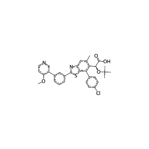 COc1ccncc1-c1cccc(-c2nc3cc(C)c([C@H](OC(C)(C)C)C(=O)O)c(-c4ccc(Cl)cc4)c3s2)c1